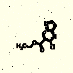 CCOC(=O)c1cn2nccc2nc1Cl